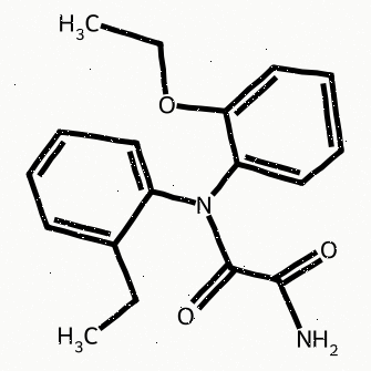 CCOc1ccccc1N(C(=O)C(N)=O)c1ccccc1CC